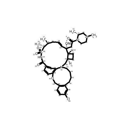 CO[C@@]1(CC(=O)N2CCN(C)C[C@H]2C)/C=C/C[C@H](C)[C@@H](C)S(=O)(=O)NC(=O)c2ccc3c(c2)N(CCCCc2cc(Cl)ccc2CO3)C[C@@H]2CC[C@H]21